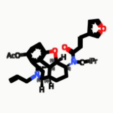 C=CCN1CC[C@@]23c4c5ccc(OC(C)=O)c4C[C@@H]1[C@@H]2CC[C@@H](N(CC(C)C)C(=O)C=Cc1ccoc1)[C@H]3O5